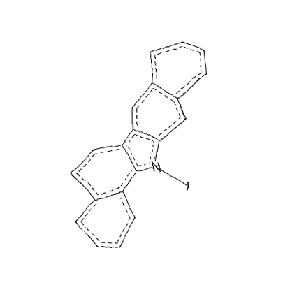 In1c2cc3ccccc3cc2c2ccc3ccccc3c21